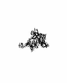 Cn1ncnc1[C@H]1c2n[nH]c(=O)c3cc(F)cc(c23)N(CNC(=O)OCC2(SSC(=O)C(C)(C)C)CCC2)[C@@H]1c1ccc(F)cc1